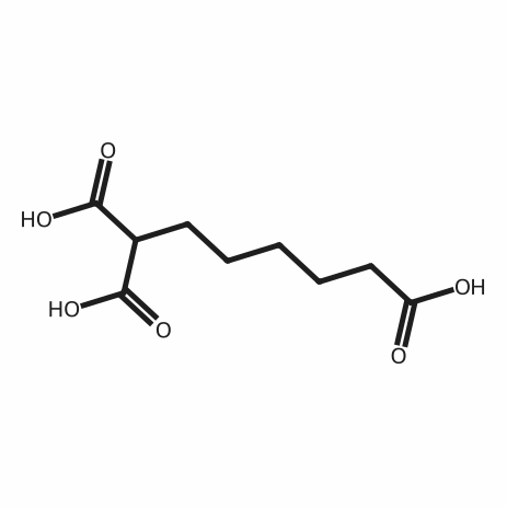 O=C(O)CCCCCC(C(=O)O)C(=O)O